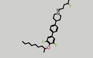 CCCCCCCC(C)Oc1c(F)cc(-c2ccc(C3CC[SiH](CCCC(C)F)CC3)cc2)cc1F